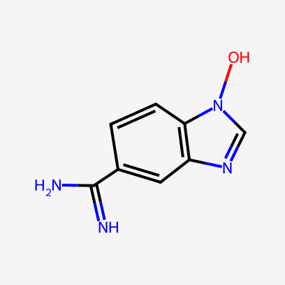 N=C(N)c1ccc2c(c1)ncn2O